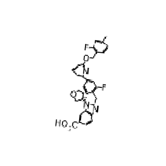 Cc1ccc(COc2cccc(-c3ccc(Cc4nc5ccc(C(=O)O)cc5n4[C@H]4CCOC4)c(F)c3)n2)c(F)c1